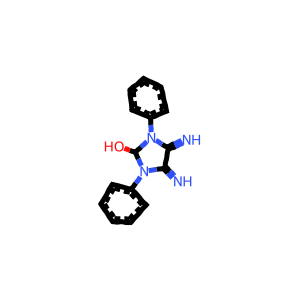 N=C1C(=N)N(c2ccccc2)C(O)N1c1ccccc1